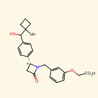 CCCC1(C(O)c2ccc([C@H]3CC(=O)N3Cc3cccc(OCC(=O)O)c3)cc2)CCC1